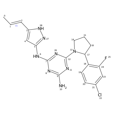 C/C=C/c1cc(Nc2nc(N)nc(N3CCCC3c3ccc(Cl)cc3F)n2)n[nH]1